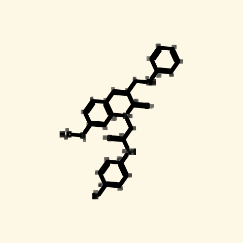 COc1ccc2cc(CNc3ccccc3)c(=O)n(CC(=O)Nc3ccc(Br)cc3)c2c1